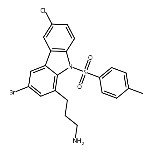 Cc1ccc(S(=O)(=O)n2c3ccc(Cl)cc3c3cc(Br)cc(CCCN)c32)cc1